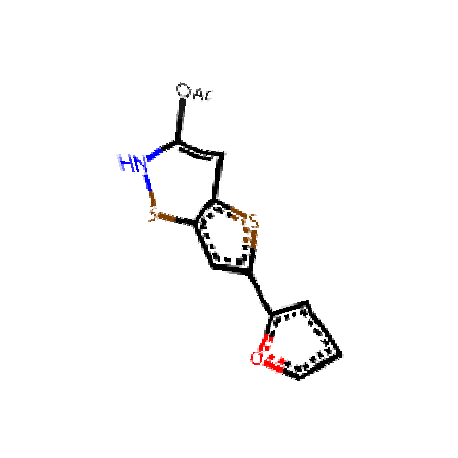 CC(=O)OC1=Cc2sc(-c3ccco3)cc2SN1